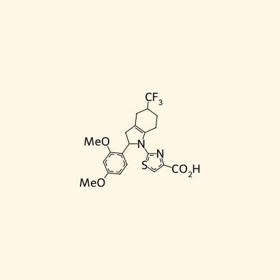 COc1ccc(C2CC3=C(CCC(C(F)(F)F)C3)N2c2nc(C(=O)O)cs2)c(OC)c1